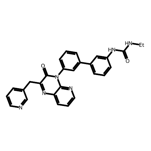 CCNC(=O)Nc1cccc(-c2cccc(-n3c(=O)c(Cc4cccnc4)nc4cccnc43)c2)c1